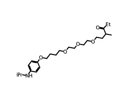 CCC(=O)C(C)CCOCCOCCOCCCCOc1ccc(NC(C)C)cc1